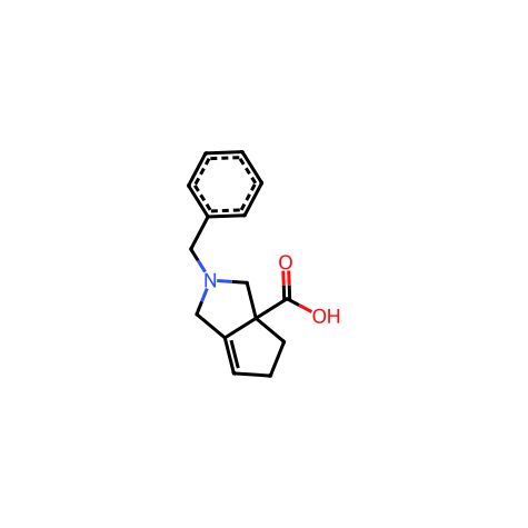 O=C(O)C12CCC=C1CN(Cc1ccccc1)C2